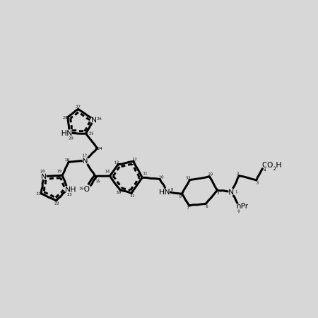 CCCN(CCC(=O)O)C1CCC(NCc2ccc(C(=O)N(Cc3ncc[nH]3)Cc3ncc[nH]3)cc2)CC1